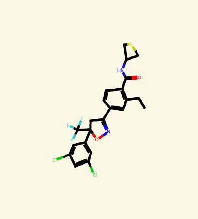 CCc1cc(C2=NOC(c3cc(Cl)cc(Cl)c3)(C(F)(F)F)C2)ccc1C(=O)NC1CSC1